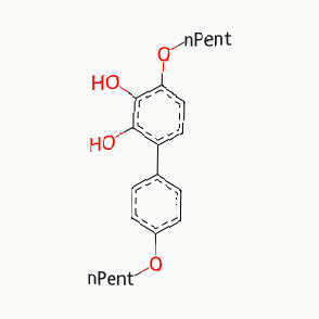 CCCCCOc1ccc(-c2ccc(OCCCCC)c(O)c2O)cc1